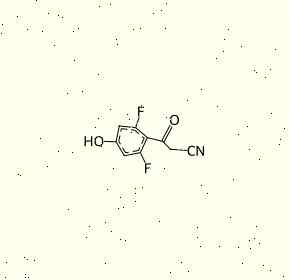 N#CCC(=O)c1c(F)cc(O)cc1F